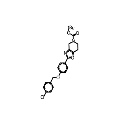 CC(C)(C)OC(=O)N1CCc2oc(-c3ccc(OCc4ccc(Cl)cc4)cc3)nc2C1